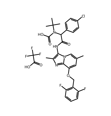 Cc1cc(OCc2c(F)cccc2F)c2nc(C)c(NC(=O)C(c3ccc(Cl)cc3)N(C(=O)O)C(C)(C)C)n2c1.O=C(O)C(F)(F)F